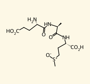 C[C@H](NC(=O)[C@@H](N)CCC(=O)O)C(=O)N[C@@H](CC[S+](C)[O-])C(=O)O